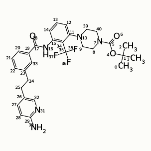 CC(C)(C)OC(=O)N1CCN(c2cccc(NC(=O)c3cccc(CCc4ccc(N)nc4)c3)c2C(F)(F)F)CC1